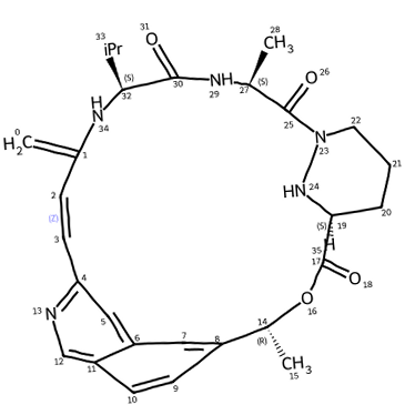 C=C1/C=C\c2cc3cc(ccc3cn2)[C@@H](C)OC(=O)[C@@H]2CCCN(N2)C(=O)[C@H](C)NC(=O)[C@H](C(C)C)N1